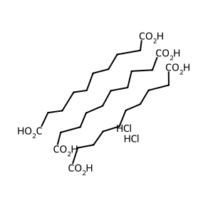 Cl.Cl.O=C(O)CCCCCCCCC(=O)O.O=C(O)CCCCCCCCC(=O)O.O=C(O)CCCCCCCCC(=O)O